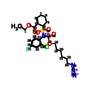 CCOC(=O)C1=CCCCC1S(=O)(=O)N(C(=O)OCCCCCCN=[N+]=[N-])c1ccc(F)cc1Cl